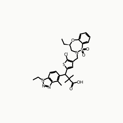 CC[C@@H]1CN(Cc2cc(C(c3ccc4c(nnn4CC)c3C)C(C)(C)C(=O)O)sc2Cl)S(=O)(=O)c2ccccc2O1